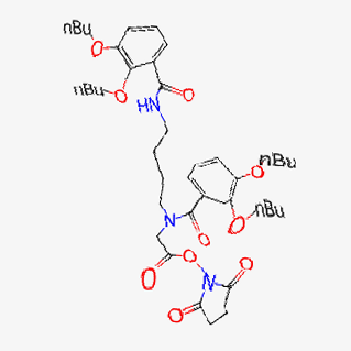 CCCCOc1cccc(C(=O)NCCCCN(CC(=O)ON2C(=O)CCC2=O)C(=O)c2cccc(OCCCC)c2OCCCC)c1OCCCC